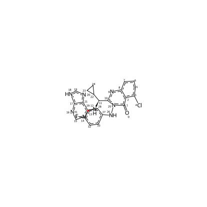 O=c1c2c(Cl)cccc2nc([C@@H](Nc2ncnc3[nH]cnc23)C2CC2)n1Nc1ccc(F)cc1